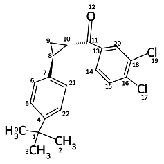 CC(C)(C)c1ccc([C@H]2C[C@@H]2C(=O)c2ccc(Cl)c(Cl)c2)cc1